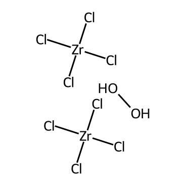 OO.[Cl][Zr]([Cl])([Cl])[Cl].[Cl][Zr]([Cl])([Cl])[Cl]